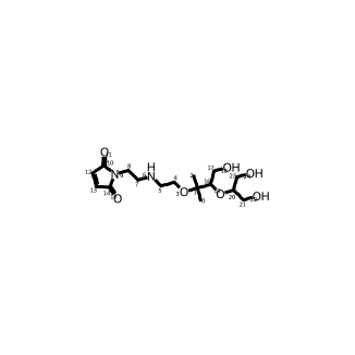 CC(C)(OCCNCCN1C(=O)C=CC1=O)C(CO)OC(CO)CO